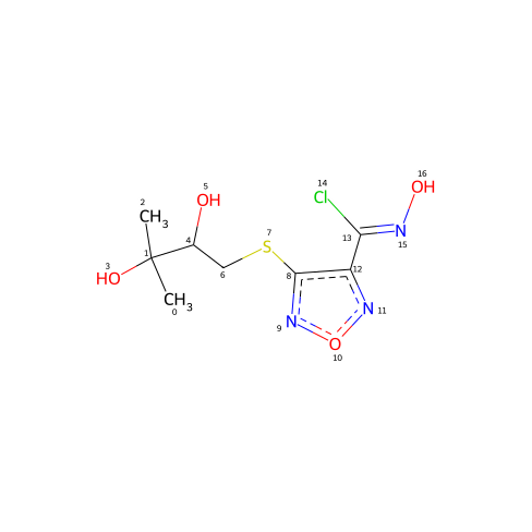 CC(C)(O)C(O)CSc1nonc1C(Cl)=NO